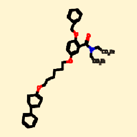 CCOC(=O)CN(CC(=O)OCC)C(=O)c1cc(OCCCCCCOc2ccc(-c3ccccc3)cc2)ccc1OCc1ccccc1